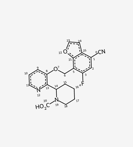 N#Cc1cc(F)c(COc2cccnc2C2CCCCN2C(=O)O)c2occc12